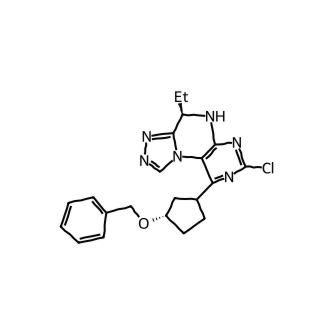 CC[C@H]1Nc2nc(Cl)nc(C3CC[C@H](OCc4ccccc4)C3)c2-n2cnnc21